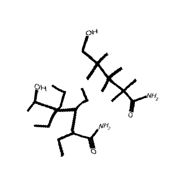 CC(C)(CO)C(C)(C)C(C)(C)C(N)=O.CCC(C(N)=O)C(CC)C(CC)(CC)C(C)O